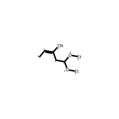 C/C=C(/C#N)CC(OCC)OCC